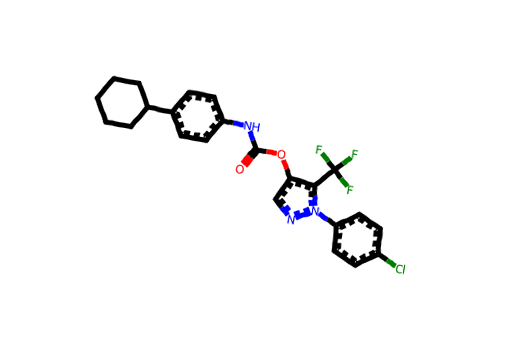 O=C(Nc1ccc(C2CCCCC2)cc1)Oc1cnn(-c2ccc(Cl)cc2)c1C(F)(F)F